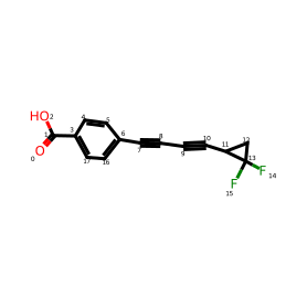 O=C(O)c1ccc(C#CC#CC2CC2(F)F)cc1